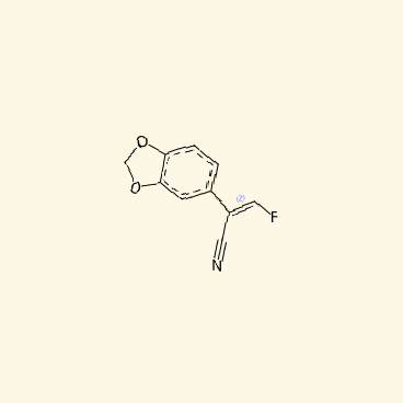 N#C/C(=C\F)c1ccc2c(c1)OCO2